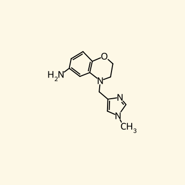 Cn1cnc(CN2CCOc3ccc(N)cc32)c1